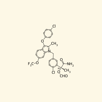 Cc1c(Oc2ccc(Cl)cc2)c2ccc(OC(F)(F)F)cc2n1Cc1ccc(Cl)c([C@@](C)(OC=O)C(N)=O)c1